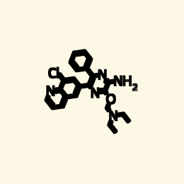 CCN(CC)COc1nc(-c2cc(Cl)c3ncccc3c2)c(-c2ccccc2)nc1N